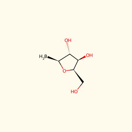 B[C@@H]1O[C@H](CO)[C@H](O)[C@H]1O